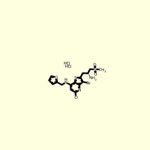 CS(=O)(=O)C[C@H](N)Cc1sc2c(NCc3ccco3)cc(Cl)nc2c1Br.Cl.Cl